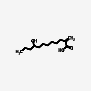 C=C(CCCCCCC(O)CCC)C(=O)O